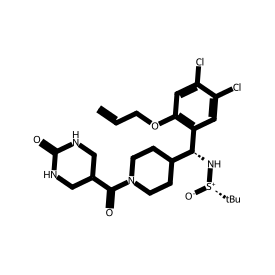 C=CCOc1cc(Cl)c(Cl)cc1[C@H](N[S@@+]([O-])C(C)(C)C)C1CCN(C(=O)C2CNC(=O)NC2)CC1